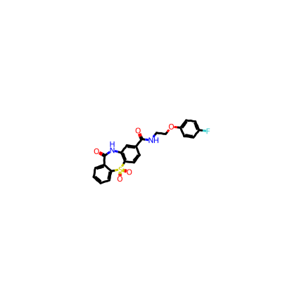 O=C(NCCOc1ccc(F)cc1)c1ccc2c(c1)NC(=O)c1ccccc1S2(=O)=O